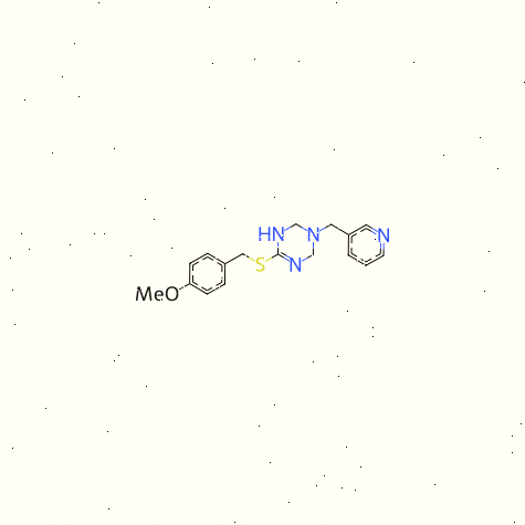 COc1ccc(CSC2=NCN(Cc3cccnc3)CN2)cc1